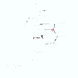 CNC(=O)CO/N=C(\C(=O)O)c1nc2ccccc2n(C2C[C@H]3CCC[C@@H](C2)N3C2C[C@H]3CCC[C@@H](C2)C3)c1=O